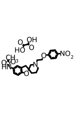 CS(=O)(=O)Nc1ccc2c(c1)CC1(CCCN(CCOc3ccc([N+](=O)[O-])cc3)C1)O2.O=C(O)C(=O)O